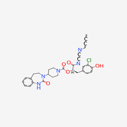 C=C=C=CN=C=C=NC(=O)[C@@H](Cc1ccc(O)c(Cl)c1)OC(=O)N1CCC(N2CCc3ccccc3NC2=O)CC1